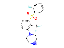 O=S(=O)(c1ccccc1F)c1cccc(N2CCNCC2)c1C(F)(F)F